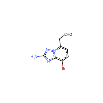 Nc1nc2c(Br)ccc(CC=O)n2n1